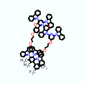 Cc1c(C)c(-n2c3ccccc3c3ccccc32)c(-n2c3ccc(OCCCOc4cc(-n5c6ccccc6c6ccccc65)nc(-n5c6ccccc6c6ccccc65)c4)cc3c3cc(OCCCOc4ccc5c(c4)oc4c(-n6c7ccccc7c7ccccc76)cc(-n6c7ccccc7c7ccccc76)nc45)ccc32)c(-n2c3ccccc3c3ccccc32)c1-c1cc(C(F)(F)F)cc(C(F)(F)F)c1